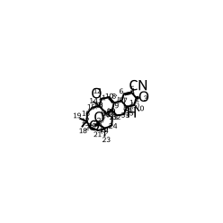 C[C@@H]1C(=O)C(C#N)=C[C@]2(C)C3=CC(=O)[C@@]4(C)CCC(C)(C)CC[C@@]5(C)CC[C@]4(OC5=O)[C@]3(C)CC[C@@H]12